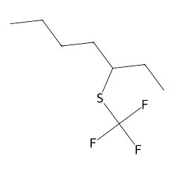 CCCCC(CC)SC(F)(F)F